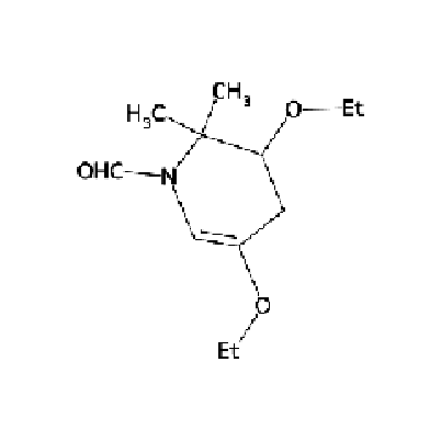 CCOC1=CN(C=O)C(C)(C)C(OCC)C1